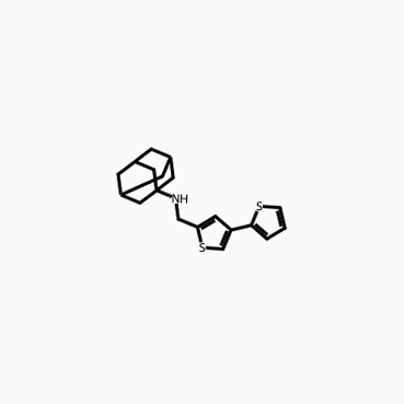 c1csc(-c2csc(CNC34CC5CC(CC(C5)C3)C4)c2)c1